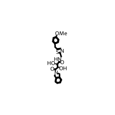 COc1ccc(Cc2cnc(CNC(=O)[C@H](O)[C@@H](O)C(=O)N3Cc4ccccc4C3)s2)cc1